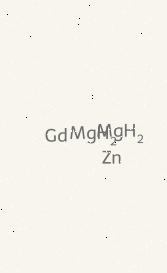 [Gd].[MgH2].[MgH2].[Zn]